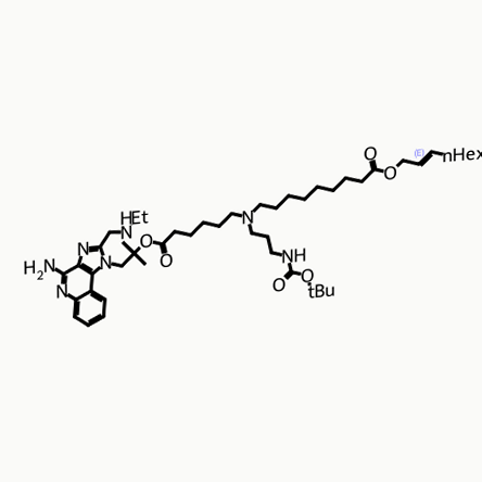 CCCCCC/C=C/COC(=O)CCCCCCCCN(CCCCCC(=O)OC(C)(C)Cn1c(CNCC)nc2c(N)nc3ccccc3c21)CCCNC(=O)OC(C)(C)C